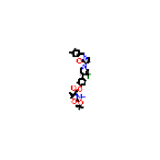 Cc1ccc(CN2CCC(N3CC[C@@H](c4ccc(OC(=O)C(NC(=O)OC(C)(C)C)C(C)C)cc4)[C@H](F)C3)C2=O)cc1